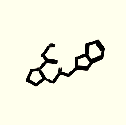 CC(C)(C)OC(=O)N1CCC[C@H]1CNCc1cc2ccccc2s1